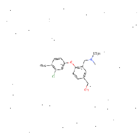 CSc1ccc(Oc2ccc(CO)cc2CN(C)C(=O)O)cc1Cl